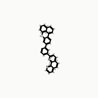 c1cc(-c2ccc3c(c2)Oc2cccc4cccc-3c24)cc(-c2ccc3ccc4cccnc4c3n2)c1